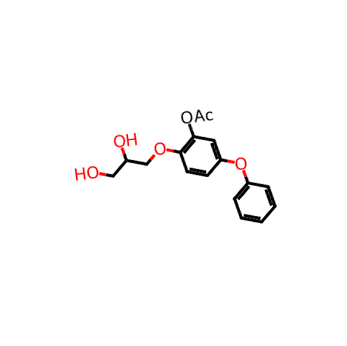 CC(=O)Oc1cc(Oc2ccccc2)ccc1OCC(O)CO